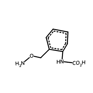 NOCc1ccccc1NC(=O)O